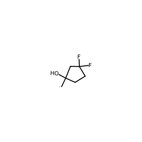 [CH2]C1(O)CCC(F)(F)C1